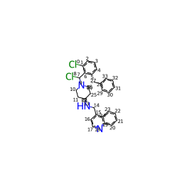 Clc1ccccc1C(Cl)N1CC[C@H](NCc2ccnc3ccccc23)C[C@H]1Cc1ccccc1